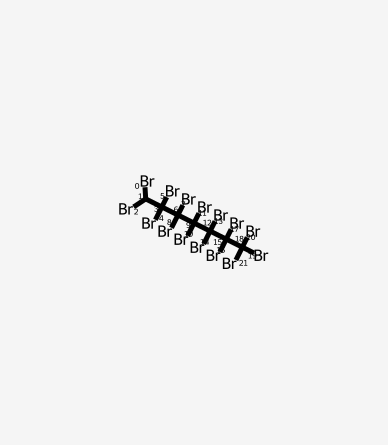 BrC(Br)C(Br)(Br)C(Br)(Br)C(Br)(Br)C(Br)(Br)C(Br)(Br)C(Br)(Br)Br